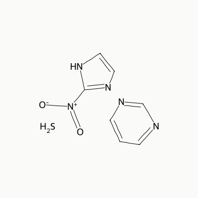 O=[N+]([O-])c1ncc[nH]1.S.c1cncnc1